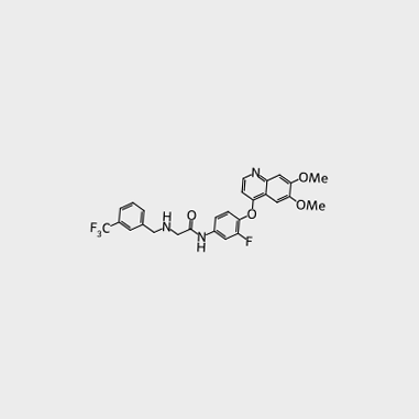 COc1cc2nccc(Oc3ccc(NC(=O)CNCc4cccc(C(F)(F)F)c4)cc3F)c2cc1OC